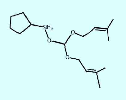 CC(C)=CCOC(OCC=C(C)C)O[SiH2]C1CCCC1